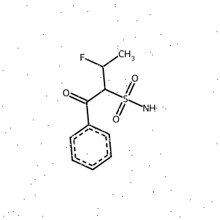 CC(F)C(C(=O)c1ccccc1)S([NH])(=O)=O